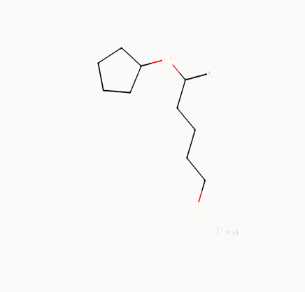 CCC[C@@H](C)OCCCCC(C)OC1CCCC1